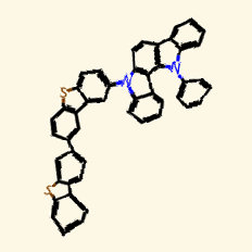 c1ccc(-n2c3ccccc3c3ccc4c(c5ccccc5n4-c4ccc5sc6ccc(-c7ccc8c(c7)sc7ccccc78)cc6c5c4)c32)cc1